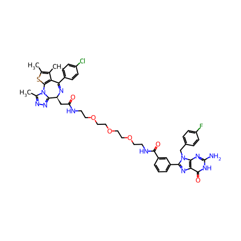 Cc1sc2c(c1C)C(c1ccc(Cl)cc1)=N[C@@H](CC(=O)NCCOCCOCCOCCNC(=O)c1cccc(-c3nc4c(=O)[nH]c(N)nc4n3Cc3ccc(F)cc3)c1)c1nnc(C)n1-2